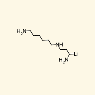 [Li][CH](N)CCNCCCCCCN